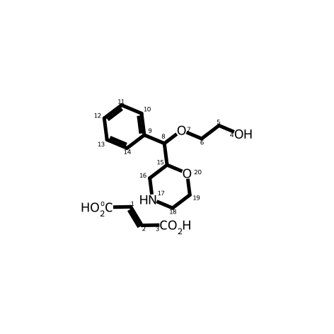 O=C(O)C=CC(=O)O.OCCOC(c1ccccc1)C1CNCCO1